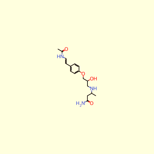 CC(=O)NC=Cc1ccc(OCC(O)CNC(C)CC(N)=O)cc1